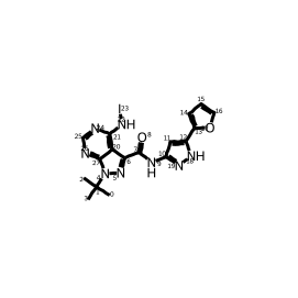 CC(C)(C)n1nc(C(=O)Nc2cc(-c3ccco3)[nH]n2)c2c(NI)ncnc21